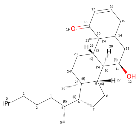 CC(C)CCC[C@@H](C)[C@H]1CC[C@H]2[C@@H]3[C@H](O)CC4CC=CC(=O)[C@]4(C)[C@H]3CC[C@]12C